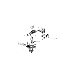 [2H]C([2H])([2H])C(C)CC(NC(=O)[C@@H]1CCCN1C(=O)[C@@H]1CSCCCC(=O)N[C@@H](Cc2ccc(OC)cc2)C(=O)N[C@@H](C(C)CC)C(=O)N[C@@H](CCC(N)=O)C(=O)N[C@@H](CC(N)=O)C(=O)N1)C(=O)NCC(N)=O